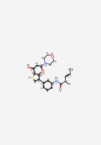 CC/C=C/C(C)C(=O)Nc1cccc(-c2csc3c(=O)cc(N4CCOCC4)oc23)c1